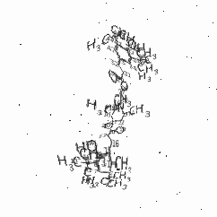 Cc1c(C(C)(C)C)cc(C(C)(C)C)c(O)c1CCC(=O)OC1CC(C)N(CCOC(=O)CCc2cc(C(C)(C)C)c(O)c(C(C)(C)C)c2)C(C)(C)C1